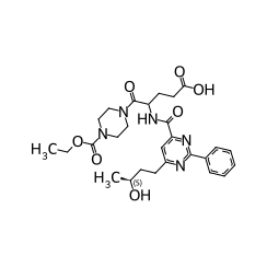 CCOC(=O)N1CCN(C(=O)C(CCC(=O)O)NC(=O)c2cc(CC[C@H](C)O)nc(-c3ccccc3)n2)CC1